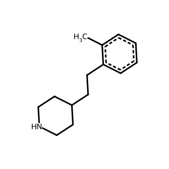 Cc1ccccc1CCC1CCNCC1